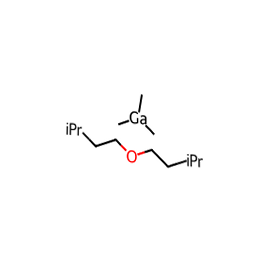 CC(C)CCOCCC(C)C.[CH3][Ga]([CH3])[CH3]